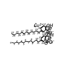 CCCCCCCCCCCCc1ccc(O)c(S(=O)(=O)[O-])c1.CCCCCCCCCCCCc1ccc(O)c(S(=O)(=O)[O-])c1.[Cu+2]